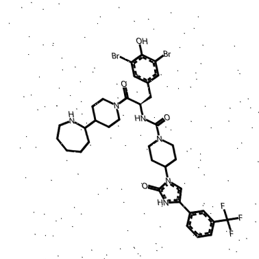 O=C(N[C@H](Cc1cc(Br)c(O)c(Br)c1)C(=O)N1CCC(C2CCCCCN2)CC1)N1CCC(n2cc(-c3cccc(C(F)(F)F)c3)[nH]c2=O)CC1